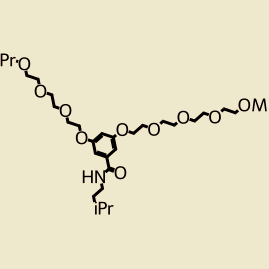 CCCOCCOCCOCCOc1cc(OCCOCCOCCOCCOC)cc(C(=O)NCCC(C)C)c1